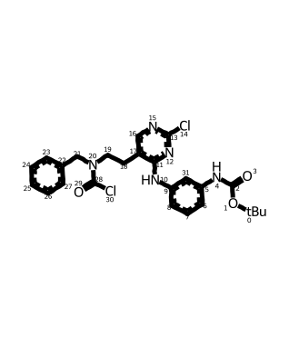 CC(C)(C)OC(=O)Nc1cccc(Nc2nc(Cl)ncc2CCN(Cc2ccccc2)C(=O)Cl)c1